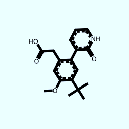 COc1cc(CC(=O)O)c(-c2ccc[nH]c2=O)cc1C(C)(C)C